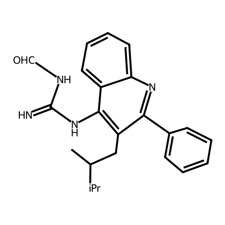 CC(C)C(C)Cc1c(-c2ccccc2)nc2ccccc2c1NC(=N)NC=O